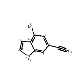 Cc1cc(C#N)cc2[nH]ccc12